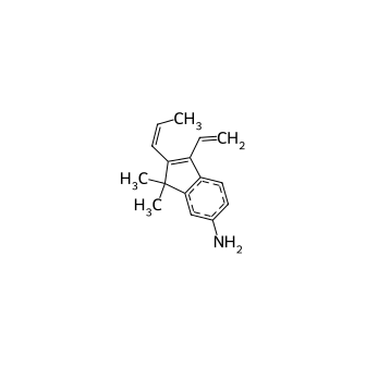 C=CC1=C(/C=C\C)C(C)(C)c2cc(N)ccc21